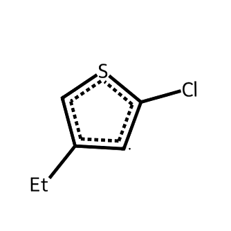 CCc1[c]c(Cl)sc1